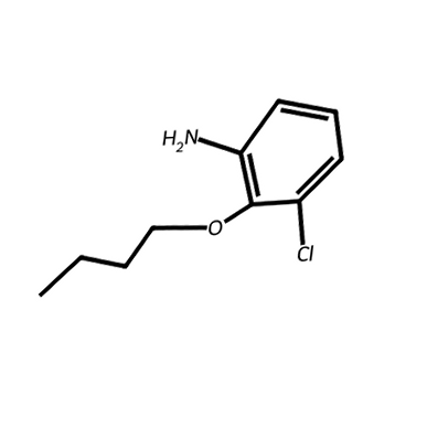 CCCCOc1c(N)cccc1Cl